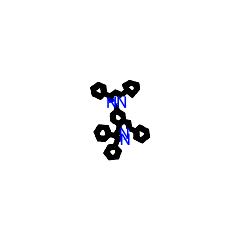 c1ccc(-c2cc(-c3ccccc3)nc(-c3ccc4c(c3)cc(-c3ccccc3)n3nc(-c5ccccc5)c(-c5ccccc5)c43)n2)cc1